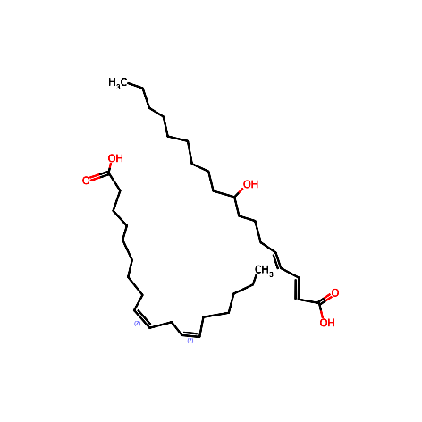 CCCCC/C=C\C/C=C\CCCCCCCC(=O)O.CCCCCCCCCC(O)CCCC=CC=CC(=O)O